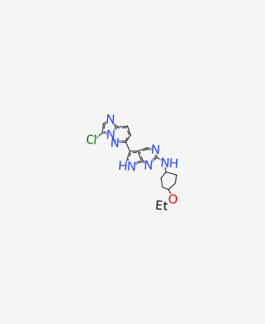 CCO[C@H]1CC[C@@H](Nc2ncc3c(-c4ccc5ncc(Cl)n5n4)c[nH]c3n2)CC1